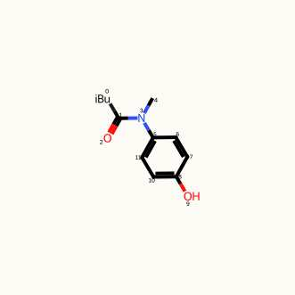 CCC(C)C(=O)N(C)c1ccc(O)cc1